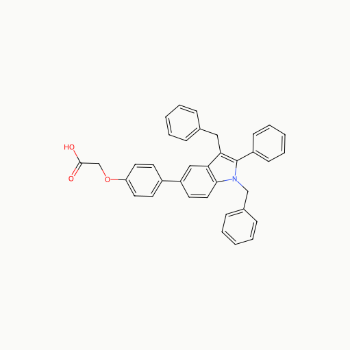 O=C(O)COc1ccc(-c2ccc3c(c2)c(Cc2ccccc2)c(-c2ccccc2)n3Cc2ccccc2)cc1